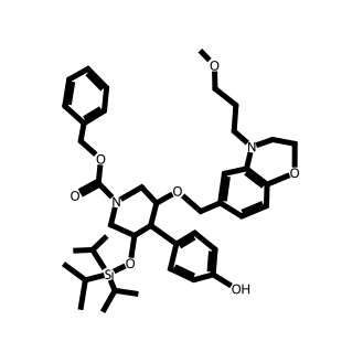 COCCCN1CCOc2ccc(COC3CN(C(=O)OCc4ccccc4)CC(O[Si](C(C)C)(C(C)C)C(C)C)C3c3ccc(O)cc3)cc21